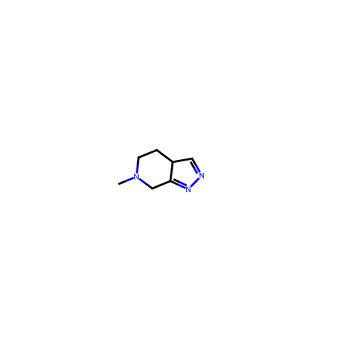 CN1CCC2C=NN=C2C1